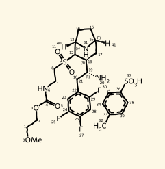 COCCOC(=O)NCCS(=O)(=O)C1[C@@H]2CC[C@H](C[C@H]1[C@H](N)Cc1cc(F)c(F)cc1F)N2.Cc1ccc(S(=O)(=O)O)cc1